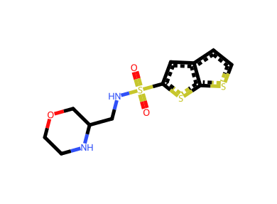 O=S(=O)(NCC1COCCN1)c1cc2ccsc2s1